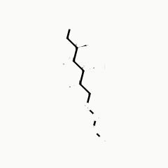 OC[C@@H](O)[C@@H](O)[C@H](O)[C@@H](O)CN[SiH2]O[SiH3]